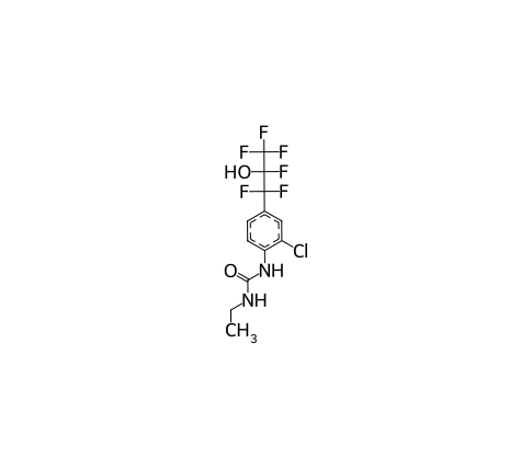 CCNC(=O)Nc1ccc(C(F)(F)C(O)(F)C(F)(F)F)cc1Cl